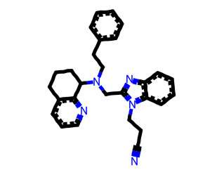 N#CCCn1c(CN(CCc2ccccc2)C2CCCc3cccnc32)nc2ccccc21